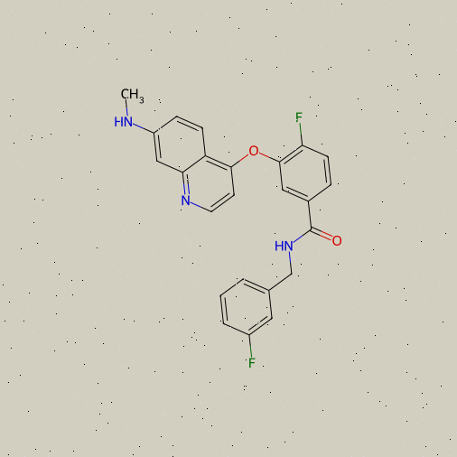 CNc1ccc2c(Oc3cc(C(=O)NCc4cccc(F)c4)ccc3F)ccnc2c1